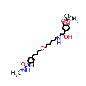 CCNC(=O)Nc1ccc(CCCCOCCCCCCNC[C@H](O)c2ccc3c(c2)COC(C)(C)O3)cc1